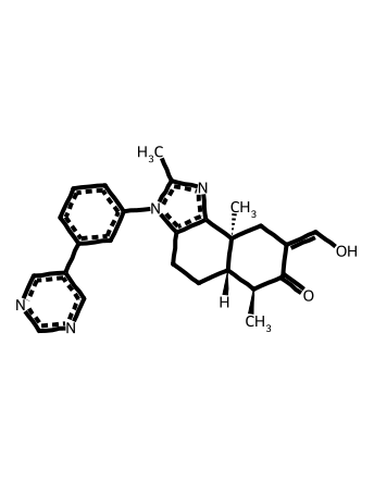 Cc1nc2c(n1-c1cccc(-c3cncnc3)c1)CC[C@H]1[C@H](C)C(=O)/C(=C\O)C[C@]21C